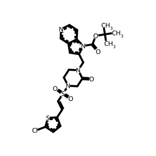 CC(C)(C)OC(=O)n1c(CN2CCN(S(=O)(=O)C=Cc3ccc(Cl)s3)CC2=O)cc2cnccc21